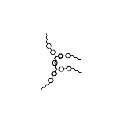 CCCCC[C@H]1CC[C@H](c2ccc(C(=CCOCC=C(c3ccc([C@H]4CC[C@H](CCCCC)CC4)cc3)[C@H]3CC[C@H]([C@H]4CC[C@H](CCCCC)CC4)CC3)[C@H]3CC[C@H]([C@H]4CC[C@H](CCCCC)CC4)CC3)cc2)CC1